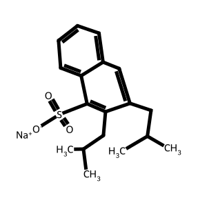 CC(C)Cc1cc2ccccc2c(S(=O)(=O)[O-])c1CC(C)C.[Na+]